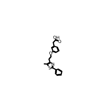 Cc1sc(-c2ccccc2)nc1CCOc1cccc(CC(=O)O)c1